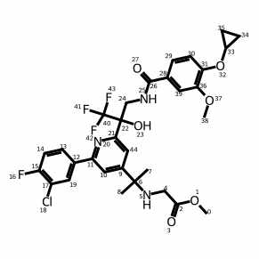 COC(=O)CNC(C)(C)c1cc(-c2ccc(F)c(Cl)c2)nc(C(O)(CNC(=O)c2ccc(OC3CC3)c(OC)c2)C(F)(F)F)c1